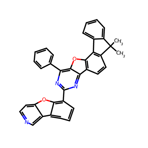 CC1(C)c2ccccc2-c2c1ccc1c2oc2c(-c3ccccc3)nc(-c3cccc4c3oc3ccncc34)nc21